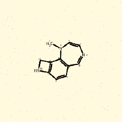 CN1C=CN=Cc2ccc3c(c21)CN3